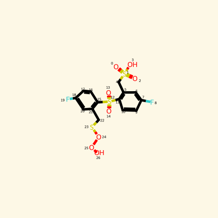 O=S(=O)(O)Cc1cc(F)ccc1S(=O)(=O)c1ccc(F)cc1CSOOO